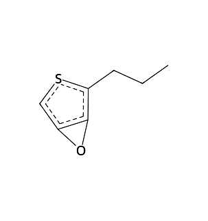 CCCc1scc2c1O2